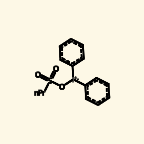 CCCS(=O)(=O)O[I+](c1ccccc1)c1ccccc1